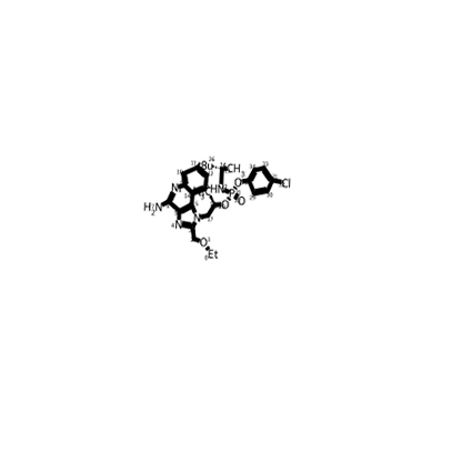 CCOCc1nc2c(N)nc3ccccc3c2n1C[C@@H](C)OP(=O)(N[C@@H](C)C(C)(C)C)Oc1ccc(Cl)cc1